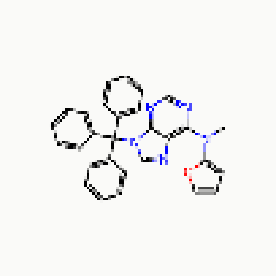 CN(c1ccco1)c1ncnc2c1ncn2C(c1ccccc1)(c1ccccc1)c1ccccc1